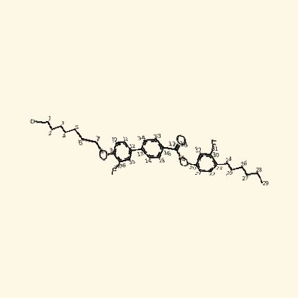 CCCCCCCCOc1ccc(-c2ccc(C(=O)Oc3ccc(CCCCCC)c(F)c3)cc2)cc1F